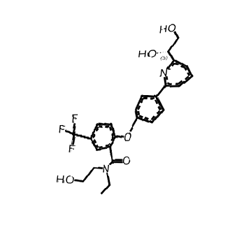 CCN(CCO)C(=O)c1cc(C(F)(F)F)ccc1Oc1ccc(-c2cccc([C@H](O)CO)n2)cc1